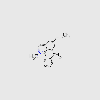 Cc1ccccc1-c1c2ccc(CCC(F)(F)F)cc2cc[n+]1C